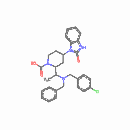 CC(C1CC(n2c(=O)[nH]c3ccccc32)CCN1C(=O)O)N(Cc1ccccc1)Cc1ccc(Cl)cc1